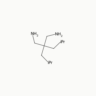 CC(C)CC(CN)(CN)CC(C)C